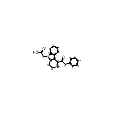 O=C(O)Cn1c2c(c3ccccc31)C(C(=O)Cc1ccccc1)NCC2